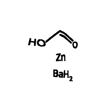 O=CO.[BaH2].[Zn]